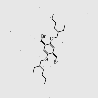 CCCCC(CC)COc1cc(=CBr)c(OCC(CC)CCCC)cc1=CBr